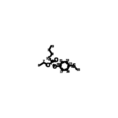 CCCSP(=O)(OCC)Oc1ccc(SC)cc1